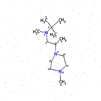 CC(CN(C)C(C)(C)C)N1CCN(C)CC1